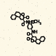 COc1cc(NC(=O)c2cc3c(ccc4ccccc43)oc2=O)ccc1NC(=O)c1cc2c(ccc3ccccc32)oc1=O